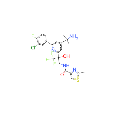 Cc1nc(C(=O)NCC(O)(c2cc(C(C)(C)N)cc(-c3ccc(F)c(Cl)c3)n2)C(F)(F)F)cs1